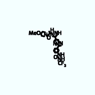 COC1CCN(C(=O)C(C)N/C=C(\C=N)c2cnn3c(-c4cccc(NC(=O)NCC(F)(F)F)c4)cnc3c2)CC1